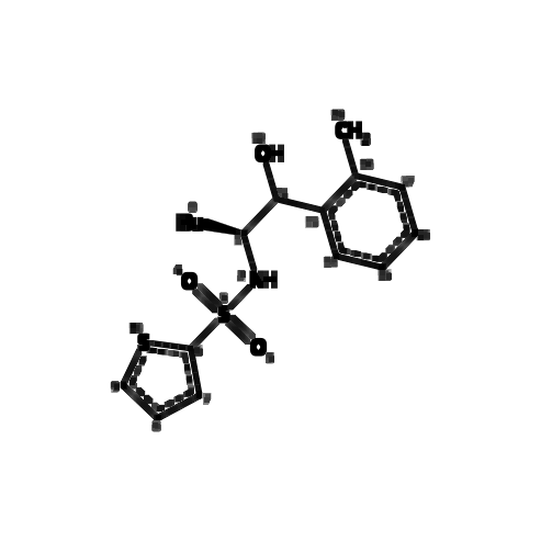 CCC(C)[C@H](NS(=O)(=O)c1cccs1)C(O)c1ccccc1C